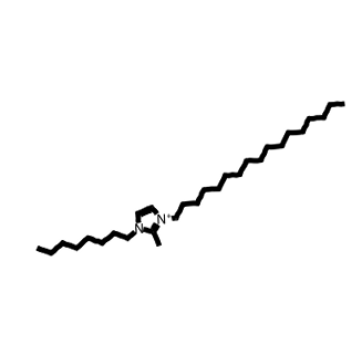 CCCCCCCCCCCCCCCCC[n+]1ccn(CCCCCCCC)c1C